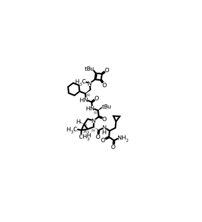 CN(C[C@@H](NC(=O)N[C@H](C(=O)N1C[C@H]2[C@@H]([C@H]1C(=O)NC(CC1CC1)C(=O)C(N)=O)C2(C)C)C(C)(C)C)C1CCCCC1)c1c(C(C)(C)C)c(=O)c1=O